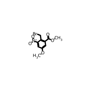 COC(=O)c1cc(OC)cc([N+](=O)[O-])c1CBr